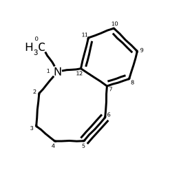 CN1CCCC#Cc2ccccc21